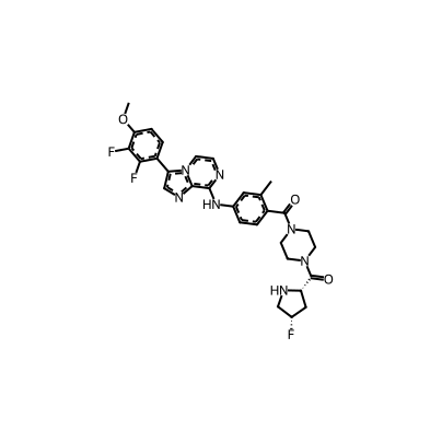 COc1ccc(-c2cnc3c(Nc4ccc(C(=O)N5CCN(C(=O)[C@@H]6C[C@H](F)CN6)CC5)c(C)c4)nccn23)c(F)c1F